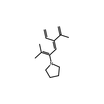 C=C/C(=C\C(=C(C)C)N1CCCC1)C(=C)C